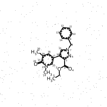 CCOC(=O)c1nn(Cc2ccccc2)cc1-c1cc(C)c(=O)n(C)c1